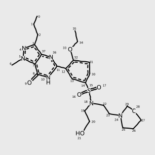 CCCc1nn(C)c2c(=O)[nH]c(-c3cc(S(=O)(=O)N(CCO)CCN4CCCCC4)ccc3OCC)nc12